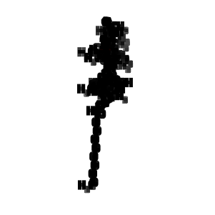 CC[C@H](C)[C@@H]([C@@H](CC(=O)N1CCC[C@H]1[C@H](OC)[C@@H](C)C(=O)N[C@H](C)[C@@H](O)c1ccccc1)OC)N(C)C(=O)[C@@H](NC(=O)[C@H](C(C)C)N(C)C(=O)OCc1ccc(NC(=O)[C@H](C)NC(=O)[C@@H](NC(=O)CCn2c(CN(C)NC)cc3cc(NC(=O)CCOCCOCCOCCOCCOCCOCCOCCOC)ccc32)C(C)C)c(O[C@@H]2O[C@H](C(=O)O)[C@@H](O)[C@H](O)[C@H]2O)c1)C(C)C